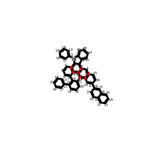 c1ccc(-c2ccccc2-c2c(-c3ccccc3)cccc2N(c2cccc(-c3ccc4ccccc4c3)c2)c2ccc3c(c2)c2ccccc2n3-c2ccccc2)cc1